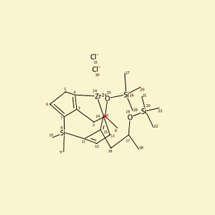 CC(CC1=[C]2CC=C1[Si](C)(C)C1=CC[C](=C1CC(C)O[Si](C)(C)C)[Zr+2]2)O[Si](C)(C)C.[Cl-].[Cl-]